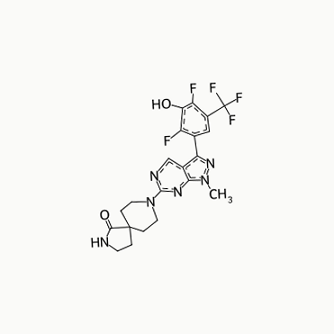 Cn1nc(-c2cc(C(F)(F)F)c(F)c(O)c2F)c2cnc(N3CCC4(CCNC4=O)CC3)nc21